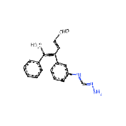 NN=CNc1cccc(C(C=CC=O)=C(C(=O)O)c2ccccc2)c1